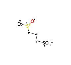 CC[S+]([O-])CCCS(=O)(=O)O